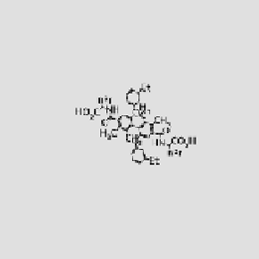 CCCC(NC(=O)c1cc(Oc2cccc(CC)c2)c(-c2c(Oc3cccc(CC)c3)cc(C(=O)NC(CCC)C(=O)O)c(C)c2C)c(C)c1C)C(=O)O